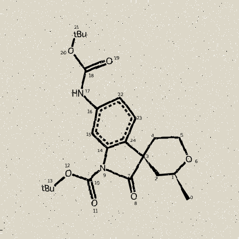 C[C@H]1C[C@@]2(CCO1)C(=O)N(C(=O)OC(C)(C)C)c1cc(NC(=O)OC(C)(C)C)ccc12